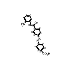 Nc1ccccc1NC(=O)c1ccc(N=Nc2ccc(C(=O)O)cc2)cc1